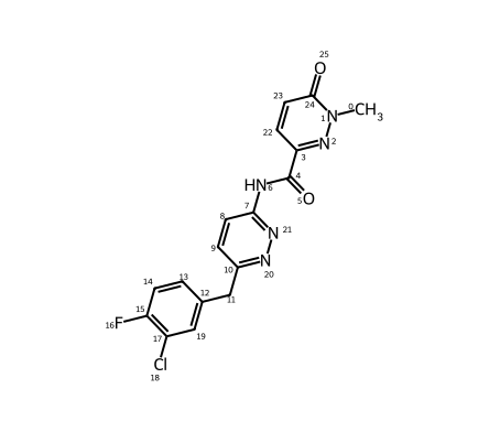 Cn1nc(C(=O)Nc2ccc(Cc3ccc(F)c(Cl)c3)nn2)ccc1=O